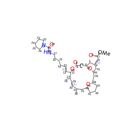 COC(=O)/C=C1\CC2CC(=O)OC(/C=C/CCCCNC(=O)N3CCCCC3)C(C)/C=C/C(C)CC3CCCC(CC(C1)O2)O3